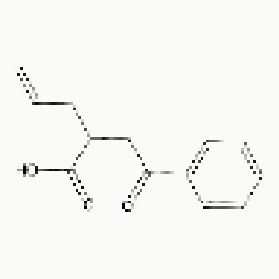 C=CCC(CC(=O)c1ccccc1)C(=O)O